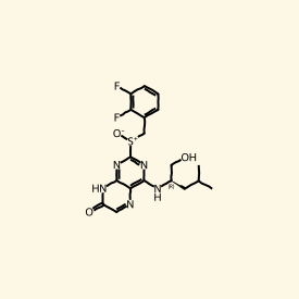 CC(C)C[C@H](CO)Nc1nc([S+]([O-])Cc2cccc(F)c2F)nc2[nH]c(=O)cnc12